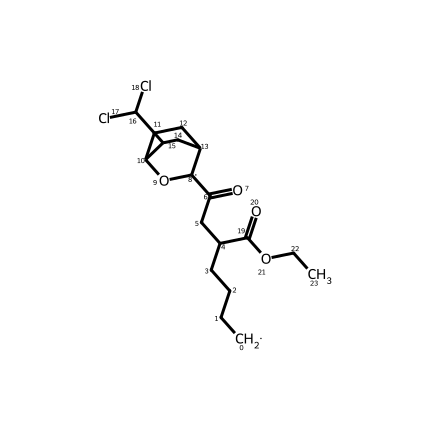 [CH2]CCCC(CC(=O)[C]1OC2CCC1CC2C(Cl)Cl)C(=O)OCC